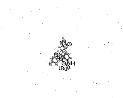 Cn1nc(C[C@H]2CN(S(=O)(=O)c3ccc(F)cc3)c3cc(NC(=O)OC(C)(C)C)ccc3O2)oc1=O